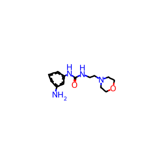 Nc1cccc(NC(=O)NCCN2CCOCC2)c1